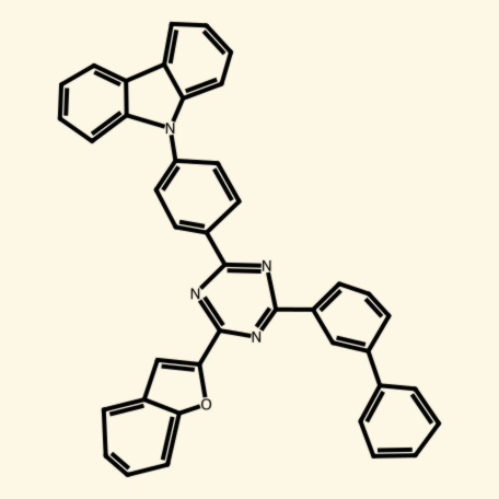 c1ccc(-c2cccc(-c3nc(-c4ccc(-n5c6ccccc6c6ccccc65)cc4)nc(-c4cc5ccccc5o4)n3)c2)cc1